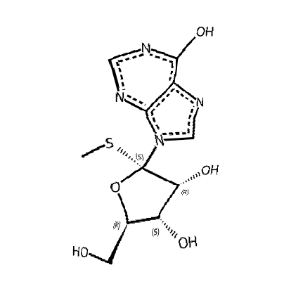 CS[C@@]1(n2cnc3c(O)ncnc32)O[C@H](CO)[C@@H](O)[C@H]1O